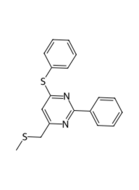 CSCc1cc(Sc2ccccc2)nc(-c2ccccc2)n1